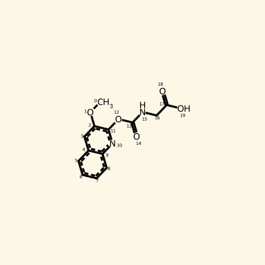 COc1cc2ccccc2nc1OC(=O)NCC(=O)O